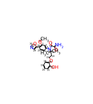 COc1cc(N(C(=O)C(N)=O)C(C)(C)CCOc2ccccc2O)ccc1-c1cnco1